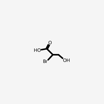 O=C(O)C(Br)CO